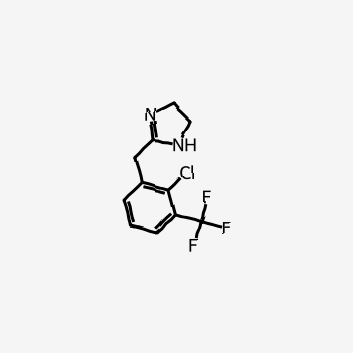 FC(F)(F)c1cccc(CC2=NCCN2)c1Cl